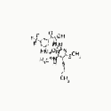 CCCC#Cc1c(N[C@@H](C)C(=O)Nc2cc(C(=O)NO)cc(C(F)(F)F)c2)nc(N)nc1SC